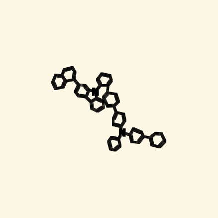 c1ccc(-c2ccc(N(c3ccccc3)c3ccc(-c4ccc(-c5ccccc5-n5c6ccccc6c6ccc(-c7cccc8ccccc78)cc65)cc4)cc3)cc2)cc1